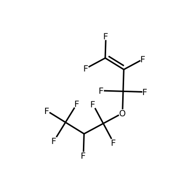 FC(F)=C(F)C(F)(F)OC(F)(F)C(F)C(F)(F)F